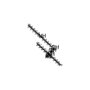 CC(=O)O.CC(=O)O.CCCCCCCCCCNCCCCCCCCCC.CCCCCCCCCCNCCCCCCCCCC.[Ru].[Ru]